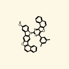 COc1ccc2c(c1)c1cc3oc4ccc5ccccc5c4c3cc1n2-c1nc(-c2cc(C)cc(C)c2)c2oc3ccc4ccccc4c3c2n1